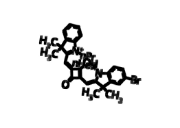 CCCCCCN1C(=CC2=C(O)C(=CC3=[N+](CCC)c4ccccc4C3(C)C)C2=O)C(C)(C)c2cc(Br)ccc21